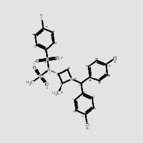 C[C@H]1[C@H](N(S(C)(=O)=O)S(=O)(=O)c2ccc(F)cc2)CN1C(c1ccc(Cl)cc1)c1ccc(Cl)cc1